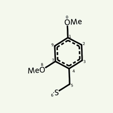 COc1ccc(C[S])c(OC)c1